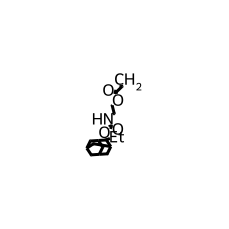 C=CC(=O)OCCNC(=O)OC1(CC)C2CC3CC(C2)CC1C3